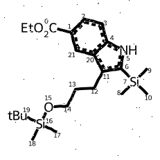 CCOC(=O)c1ccc2[nH]c([Si](C)(C)C)c(CCCO[Si](C)(C)C(C)(C)C)c2c1